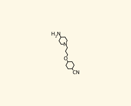 N#CC1CCC(OCCCN2CCC(N)CC2)CC1